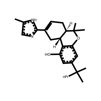 CCCC(C)(C)c1cc(O)c2c(c1)OC(C)(C)[C@@H]1CC=C(c3ncc(C)[nH]3)C[C@@H]21